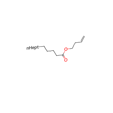 C=CCCOC(=O)CCCCCCCCCCC